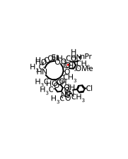 CCCNC[C@]1(O)[C@H](C)O[C@@H](O[C@H]2[C@H](C)[C@@H](O[C@@H]3O[C@H](C)C[C@H](N(C)S(=O)(=O)N(C)Cc4ccc(Cl)cc4)[C@H]3O)[C@](C)(O)C[C@@H](C)CN[C@H](C)[C@@H](O)[C@](C)(O)[C@@H](CC)OC(=O)[C@@H]2C)C[C@@]1(C)OC